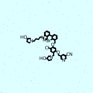 N#Cc1cncc(COc2cc(OCc3cccc(-c4cccc5c4cnn5CCCCN4CC[C@@H](O)C4)c3Br)c(Cl)cc2CN2CC[C@@H](O)C2)c1